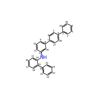 c1ccc(-c2ccc(-c3cccc(Nc4ccccc4-c4ccccc4)c3)cc2)cc1